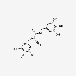 Cc1cc(/C=C(\C#N)C(=S)NCc2cc(O)c(O)c(O)c2)cc(Br)c1C